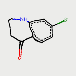 O=C1CCNc2cc(Br)ccc21